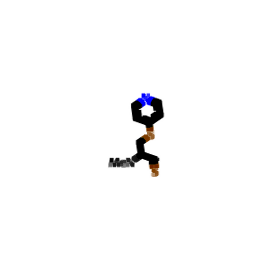 CNC([C]=S)CSc1ccncc1